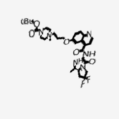 CC(=N)[C@@H]1CC(F)(F)CN1C(=O)CNC(=O)c1ccnc2ccc(OCCC[N+]3(C)CCN(C(=O)OC(C)(C)C)CC3)cc12